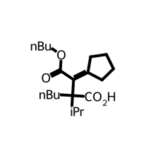 CCCCOC(=O)C(=C1CCCC1)C(CCCC)(C(=O)O)C(C)C